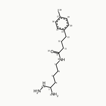 NNC(N)CCCCNC(=O)CCCc1ccc(I)cc1